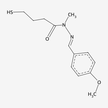 COc1ccc(C=NN(C)C(=O)CCCS)cc1